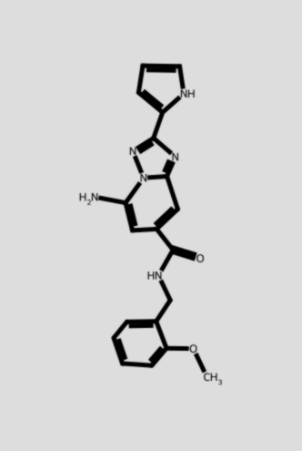 COc1ccccc1CNC(=O)c1cc(N)n2nc(-c3ccc[nH]3)nc2c1